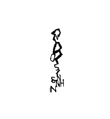 CSC(=NCCSCc1cc2ccc(CN3CCCCC3)cc2o1)NC#N